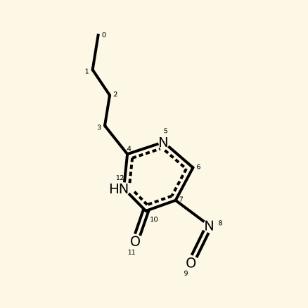 CCCCc1ncc(N=O)c(=O)[nH]1